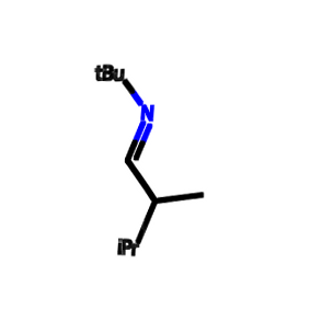 CC(C)C(C)C=NC(C)(C)C